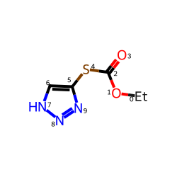 CCOC(=O)Sc1c[nH]nn1